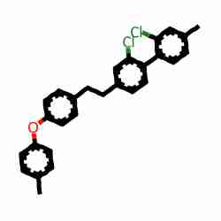 Cc1ccc(Oc2ccc(CCc3ccc(-c4ccc(C)cc4Cl)c(Cl)c3)cc2)cc1